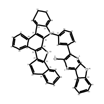 Clc1nc2c(nc1-c1cccc(-n3c4c(c5c6ccccc6c6c7ccc8ccccc8c7sc6c53)=CCCC=4)c1)oc1ccccc12